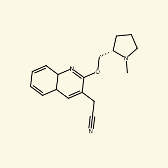 CN1CCC[C@H]1COC1=NC2C=CC=CC2C=C1CC#N